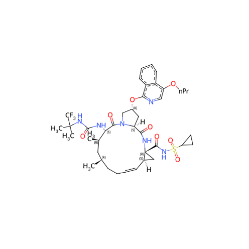 CCCOc1cnc(O[C@@H]2C[C@H]3C(=O)N[C@]4(C(=O)NS(=O)(=O)C5CC5)C[C@H]4C=CCC[C@@H](C)C[C@@H](C)[C@H](NC(=O)NC(C)(C)C(F)(F)F)C(=O)N3C2)c2ccccc12